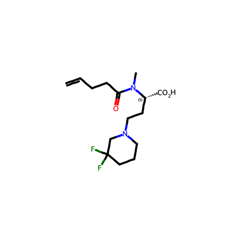 C=CCCC(=O)N(C)[C@@H](CCN1CCCC(F)(F)C1)C(=O)O